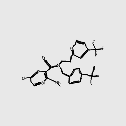 CNc1ncc(Cl)cc1C(=O)N(CCc1cc(C(F)(F)F)ccn1)Cc1ccc(C(C)(C)C)cc1